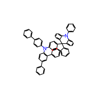 c1ccc(-c2ccc(N(c3ccc4c(c3)-c3ccccc3C43c4ccccc4N(c4ccccc4)c4ccccc43)c3ccc(-c4ccccc4)cc3-c3ccccc3)cc2)cc1